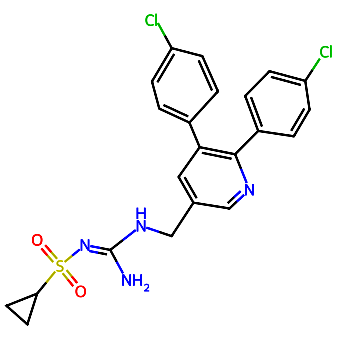 N/C(=N\S(=O)(=O)C1CC1)NCc1cnc(-c2ccc(Cl)cc2)c(-c2ccc(Cl)cc2)c1